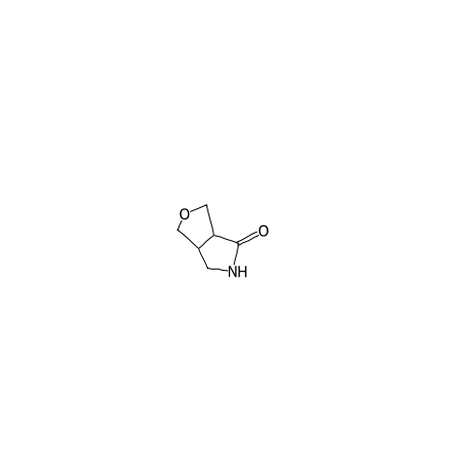 O=C1NCC2COCC12